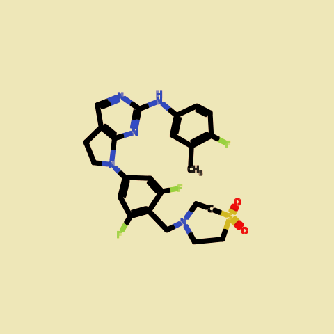 Cc1cc(Nc2ncc3c(n2)N(c2cc(F)c(CN4CCS(=O)(=O)CC4)c(F)c2)CC3)ccc1F